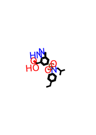 CCc1ccc(N(CC(C)C)S(=O)(=O)c2cc(C(=O)O)c3[nH]ncc3c2)cc1